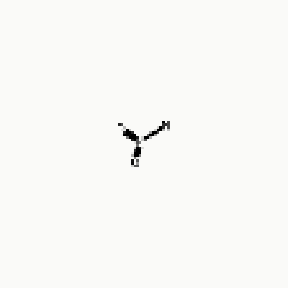 [N]P(=O)=O